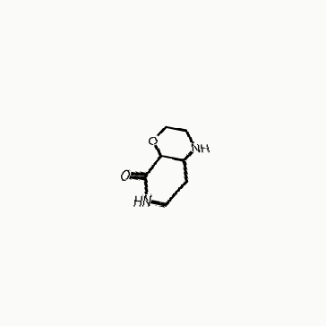 O=C1NCCC2NCCOC12